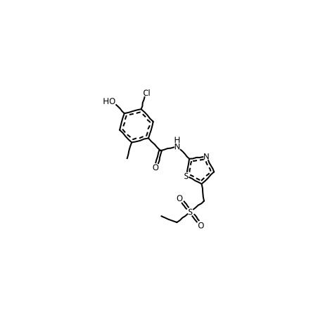 CCS(=O)(=O)Cc1cnc(NC(=O)c2cc(Cl)c(O)cc2C)s1